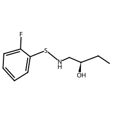 CC[C@@H](O)CNSc1ccccc1F